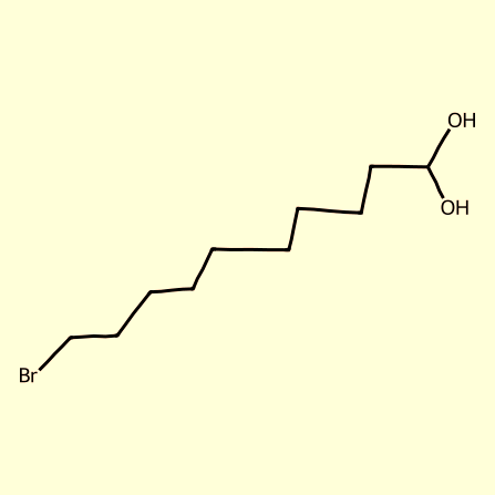 OC(O)CCCCCCCCCBr